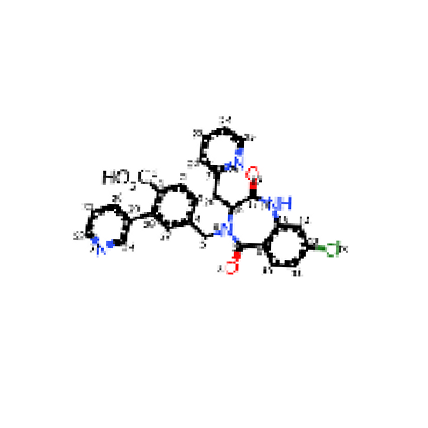 O=C(O)c1ccc(CN2C(=O)c3ccc(Cl)cc3NC(=O)C2Cc2ccccn2)cc1-c1cccnc1